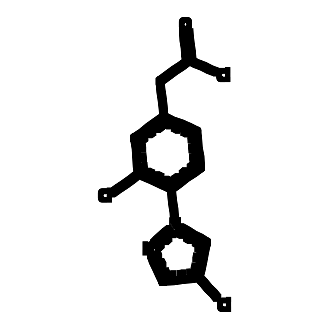 O=C(Cl)Cc1ccc(-n2cc(Cl)cn2)c(Cl)c1